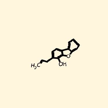 C=CCc1ccc2c(oc3ccccc32)c1O